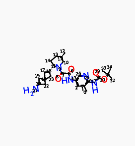 Cc1cc(NC(=O)C(=O)N2C[C@H](C)CC[C@H]2C2CC3(CC(N)C3)C2)cnc1NC(=O)OC(C)(C)C